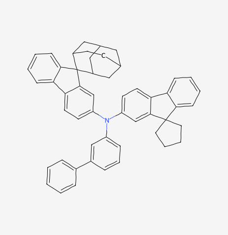 c1ccc(-c2cccc(N(c3ccc4c(c3)C3(CCCC3)c3ccccc3-4)c3ccc4c(c3)C3(c5ccccc5-4)C4CCC5CC(C4)CC3C5)c2)cc1